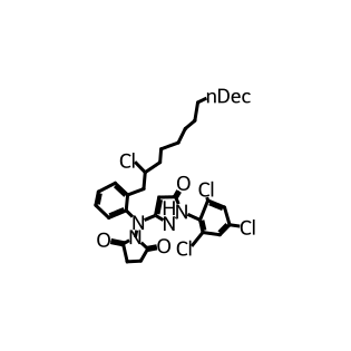 CCCCCCCCCCCCCCCCC(Cl)Cc1ccccc1N(c1cc(=O)n(-c2c(Cl)cc(Cl)cc2Cl)[nH]1)N1C(=O)CCC1=O